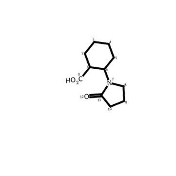 O=C(O)C1CCCCC1N1CCCC1=O